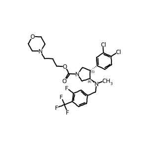 CN(Cc1ccc(C(F)(F)F)c(F)c1)[C@H]1CN(C(=O)OCCCN2CCOCC2)C[C@@H]1c1ccc(Cl)c(Cl)c1